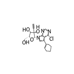 C#C[C@@]1(O)[C@H](O)[C@@H](CO)O[C@H]1n1cc(C2=CCCCC2)c2c(Cl)ncnc21